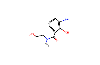 CN(CCO)C(=O)c1cccc(N)c1O